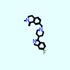 C=C1c2cc(CN3CCC(C4=NCc5cc(F)ccc54)CC3)ccc2CCN1C